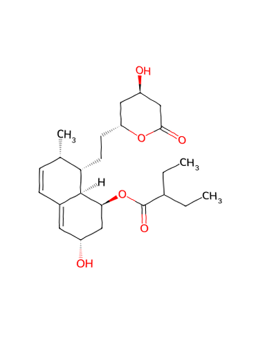 CCC(CC)C(=O)O[C@H]1C[C@H](O)C=C2C=C[C@H](C)[C@H](CC[C@@H]3C[C@@H](O)CC(=O)O3)[C@H]21